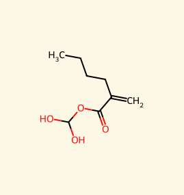 C=C(CCCC)C(=O)OC(O)O